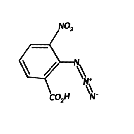 [N-]=[N+]=Nc1c(C(=O)O)cccc1[N+](=O)[O-]